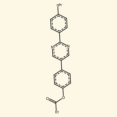 CCCc1ccc(-c2ncc(-c3ccc(OC(=O)CC)cc3)cn2)cc1